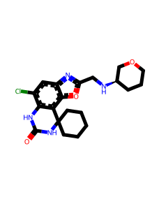 O=C1Nc2c(Cl)cc3nc(CN[C@@H]4CCCOC4)oc3c2C2(CCCCC2)N1